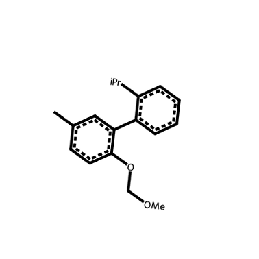 COCOc1ccc(C)cc1-c1ccccc1C(C)C